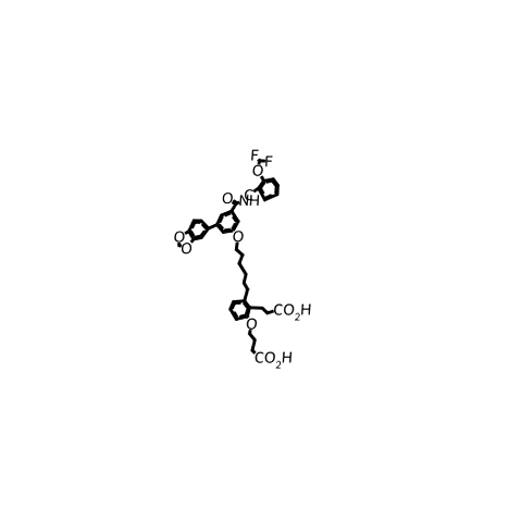 O=C(O)CCCOc1cccc(CCCCCCOc2cc(C(=O)NCc3ccccc3OC(F)F)cc(-c3ccc4c(c3)OCO4)c2)c1CCC(=O)O